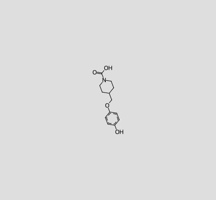 O=C(O)N1CCC(COc2ccc(O)cc2)CC1